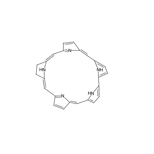 C1=Cc2cc3ccc([nH]3)c3ccc(cc4nc(cc5[nH]c(cc1n2)CC5)C=C4)[nH]3